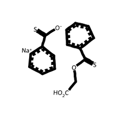 O=C(O)COC(=S)c1ccccc1.[Na+].[O-]C(=S)c1ccccc1